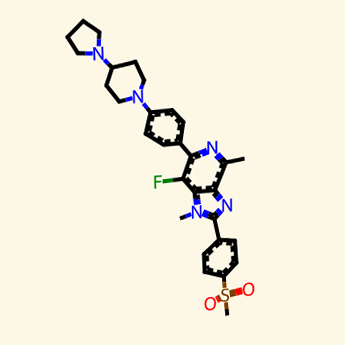 Cc1nc(-c2ccc(N3CCC(N4CCCC4)CC3)cc2)c(F)c2c1nc(-c1ccc(S(C)(=O)=O)cc1)n2C